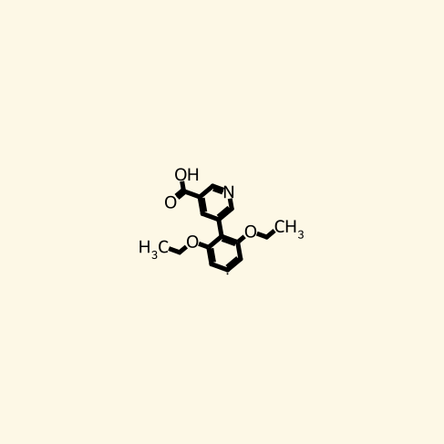 CCOc1c[c]cc(OCC)c1-c1cncc(C(=O)O)c1